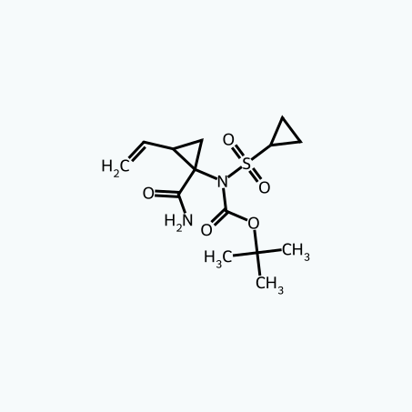 C=CC1CC1(C(N)=O)N(C(=O)OC(C)(C)C)S(=O)(=O)C1CC1